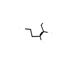 CCCC(C)=C(C)CC